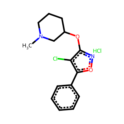 CN1CCCC(Oc2noc(-c3ccccc3)c2Cl)C1.Cl